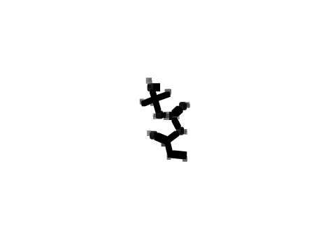 C=CC(=O)O[PH](=O)OC(C)(C)O